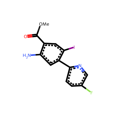 COC(=O)c1cc(I)c(-c2ccc(F)cn2)cc1N